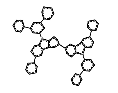 c1ccc(-c2cccc(-n3c4ccc(-c5ccccc5)cc4c4cc(-c5ccc6c(c5)c5cc(-c7ccccc7)ccc5n6-c5cc(-c6ccccc6)cc(-c6ccccc6)c5)ccc43)c2)cc1